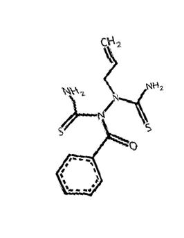 C=CCN(C(N)=S)N(C(=O)c1ccccc1)C(N)=S